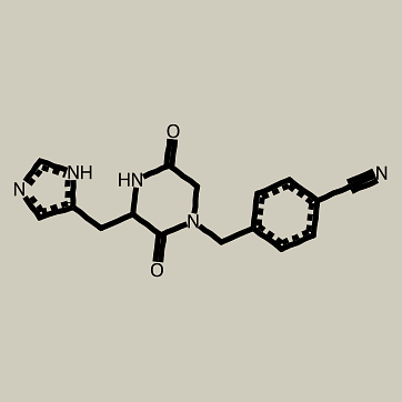 N#Cc1ccc(CN2CC(=O)NC(Cc3cnc[nH]3)C2=O)cc1